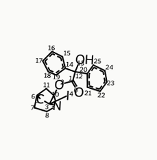 O=C(OC1(I)CC2CCN1CC2)C(O)(c1ccccc1)c1ccccc1